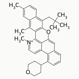 Cc1ccc2c(CC(C)(C)C)c3c(c(C)c2c1)-c1c2c(cc4cccc(C5CCOCC5)c4c2cc[n+]1C)O3